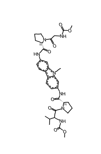 COC(=O)NCC(=O)N1CCC[C@H]1C(=O)Nc1ccc2c3ccc(NC(=O)[C@@H]4CCCN4C(=O)C(NC(=O)OC)C(C)C)cc3n(C)c2c1